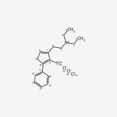 CCN(CC)CCC1=CCC(c2ccccc2)=[C]1[Ti+3].[Cl-].[Cl-].[Cl-]